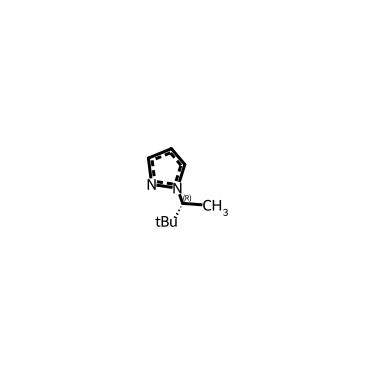 C[C@@H](n1cccn1)C(C)(C)C